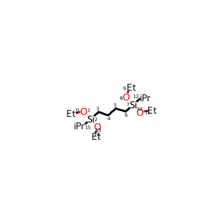 CCO[Si](CCCC[Si](OCC)(OCC)C(C)C)(OCC)C(C)C